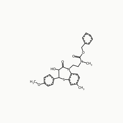 COc1ccc(C2Sc3cc(C)ccc3N(CCN(C)C(=O)OCc3ccccc3)C(=O)C2O)cc1